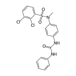 CN(c1ccc(NC(=O)Nc2ccccc2)cc1)S(=O)(=O)c1cccc(Cl)c1Cl